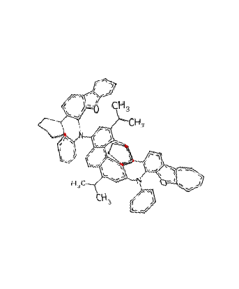 CC(C)c1cc(N(c2ccccc2)c2c(C3CCCC3)ccc3c2oc2ccccc23)c2ccc3c(C(C)C)cc(N(c4ccccc4)c4c(C5CCCC5)ccc5c4oc4ccccc45)c4ccc1c2c34